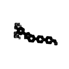 COc1ccc(-c2cn3c(n2)CCC(C2CCN(C4CCN(C=O)CC4)CC2)C3)cc1OC